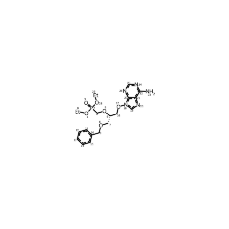 CCOP(=O)(CO[C@@H](COCc1ccccc1)COn1cnc2c(N)ncnc21)OCC